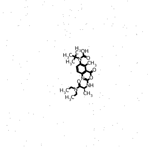 CCN(CC)C(=O)[C@H](C)Nc1nc2ccc(N(C(=O)O)C(C)(C)C)c(C)c2c(=O)o1